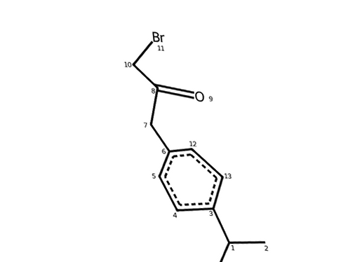 CC(C)c1ccc(CC(=O)CBr)cc1